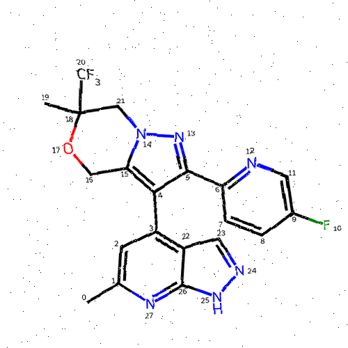 Cc1cc(-c2c(-c3ccc(F)cn3)nn3c2COC(C)(C(F)(F)F)C3)c2cn[nH]c2n1